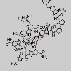 CCn1nc(C)cc1C(=O)Nc1nc2cc(C(N)=O)cc(OC)c2n1C/C=C/Cn1c(NC(=O)c2cc(C)nn2CC)nc2cc(C(N)=O)cc(OCCCNC(=O)[C@H](CC(=O)O)NC(=O)[C@H](CCCNC(=N)N)NC(=O)[C@H](CC(=O)O)NC(=O)[C@H](CC(=O)O)NC(=O)CCCN3CCc4c(nc(C(=O)Nc5cccc(-c6cccc(NC(=O)c7nc8c(n7C)CCN(CCCC(=O)O)C8)c6Cl)c5Cl)n4C)C3)c21